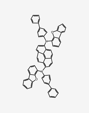 c1ccc(-c2ccc(N(c3ccc4ccc5c(N(c6ccc(-c7ccccc7)cc6)c6cccc7c6oc6ccccc67)ccc6ccc3c4c65)c3cccc4c3oc3ccccc34)cc2)cc1